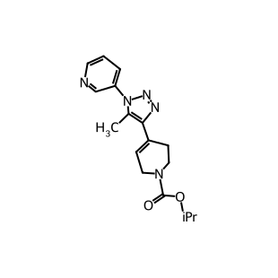 Cc1c(C2=CCN(C(=O)OC(C)C)CC2)nnn1-c1cccnc1